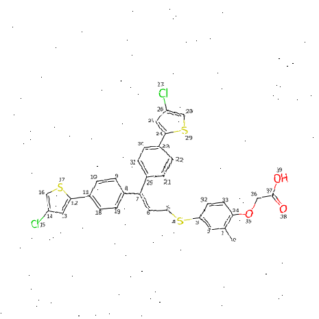 Cc1cc(SCC=C(c2ccc(-c3cc(Cl)cs3)cc2)c2ccc(-c3cc(Cl)cs3)cc2)ccc1OCC(=O)O